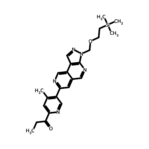 CCC(=O)c1cc(C)c(-c2cc3cnc4c(cnn4COCC[Si](C)(C)C)c3cn2)cn1